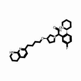 O=C(O)C(c1cc(F)ccc1[C@H]1CCCCO1)N1CC[C@@H](OCCCCc2ccc3c(n2)NCCC3)C1